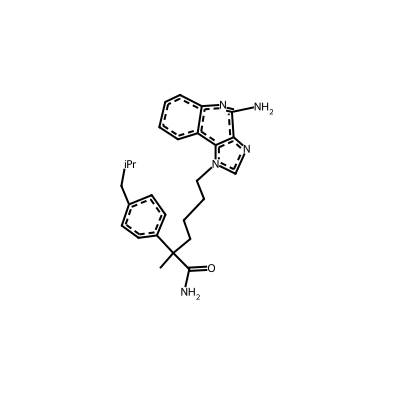 CC(C)Cc1ccc(C(C)(CCCCn2cnc3c(N)nc4ccccc4c32)C(N)=O)cc1